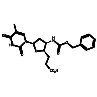 Cc1cn([C@H]2C[C@H](NC(=O)OCc3ccccc3)[C@@H](CCC(=O)O)O2)c(=O)[nH]c1=O